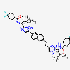 CC(C)[C@H](NC(=O)C1CCC(F)(F)CC1)c1ncc(CCc2ccc3cc(-c4cnc([C@@H](NC(=O)C5CCC(F)(F)CC5)C(C)C)[nH]4)ccc3c2)[nH]1